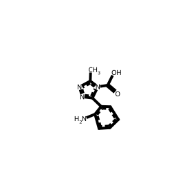 Cc1nnc(-c2ccccc2N)n1C(=O)O